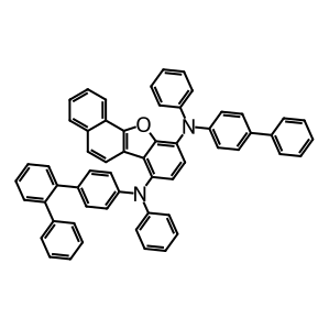 c1ccc(-c2ccc(N(c3ccccc3)c3ccc(N(c4ccccc4)c4ccc(-c5ccccc5-c5ccccc5)cc4)c4c3oc3c5ccccc5ccc34)cc2)cc1